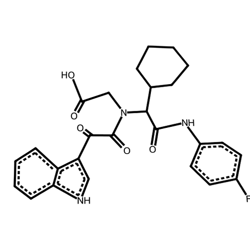 O=C(O)CN(C(=O)C(=O)c1c[nH]c2ccccc12)C(C(=O)Nc1ccc(F)cc1)C1CCCCC1